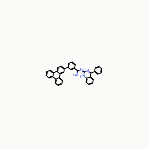 N=C(/N=c1/nc(-c2ccccc2)c2ccccc2[nH]1)c1cccc(-c2ccc3c4ccccc4c4ccccc4c3c2)c1